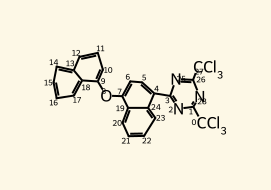 ClC(Cl)(Cl)c1nc(-c2ccc(Oc3cccc4ccccc34)c3ccccc23)nc(C(Cl)(Cl)Cl)n1